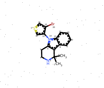 CC1(C)NCCc2c1c1ccccc1n2-c1cscc1Br